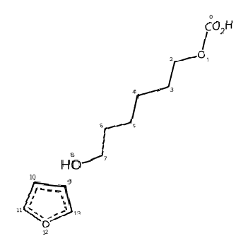 O=C(O)OCCCCCCO.c1ccoc1